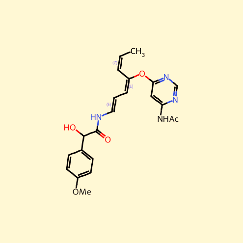 C\C=C/C(=C\C=C\NC(=O)C(O)c1ccc(OC)cc1)Oc1cc(NC(C)=O)ncn1